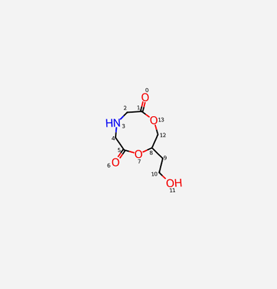 O=C1CNCC(=O)OC(CCO)CO1